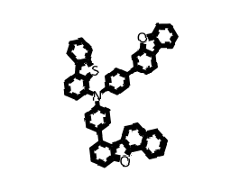 c1ccc2c(c1)ccc1c2oc2cccc(-c3ccc(N(c4ccc(-c5ccc6c(c5)oc5ccccc56)cc4)c4cccc5c4sc4ccccc45)cc3)c21